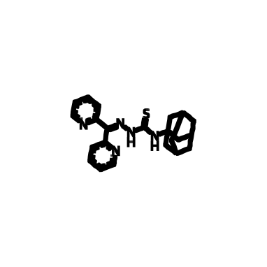 S=C(NN=C(c1ccccn1)c1ccccn1)NC12CC3CC(CC(C3)C1)C2